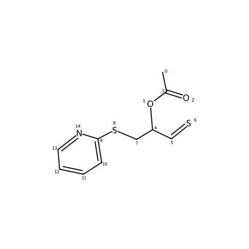 CC(=O)OC(C=S)CSc1ccccn1